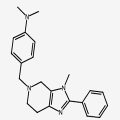 CN(C)c1ccc(CN2CCc3nc(-c4ccccc4)n(C)c3C2)cc1